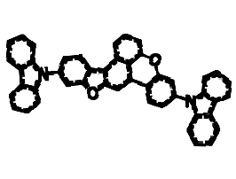 c1cc2c3c(cc4oc5cc(-n6c7ccccc7c7ccccc76)ccc5c4c3c1)-c1ccc(-n3c4ccccc4c4ccccc43)cc1O2